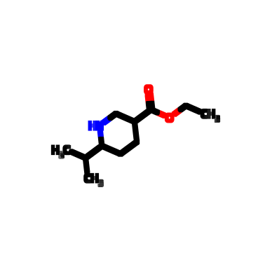 CCOC(=O)C1CCC(C(C)C)NC1